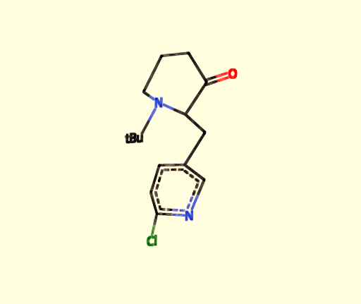 CC(C)(C)N1CCCC(=O)C1Cc1ccc(Cl)nc1